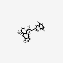 CC(=O)O[C@@H]1[C][C@@]2(O)[C@H](C)CC[C@@H]([C@H](C)CN(Cc3ccccc3C)C(C)=O)[C@H]2C=C1C